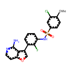 COc1ccc(S(=O)(=O)Nc2cccc(-c3coc4ccnc(N)c34)c2F)cc1Cl